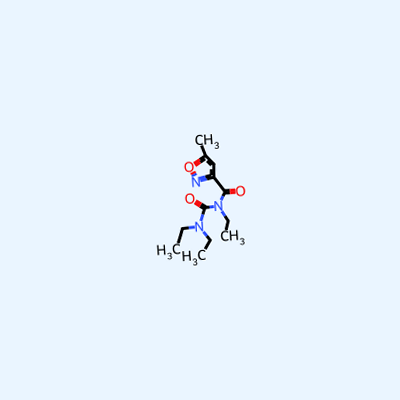 CCN(CC)C(=O)N(CC)C(=O)c1cc(C)on1